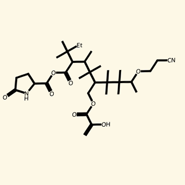 C=C(O)C(=O)OCC(C(C)(C)C(C)C(C(=O)OC(=O)C1CCC(=O)N1)C(C)(C)CC)C(C)(C)C(C)(C)C(C)OCCC#N